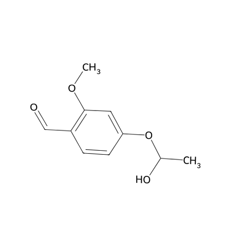 COc1cc(OC(C)O)ccc1C=O